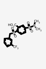 CN(C)S(=O)(=O)c1ccc(S(=O)(=O)Cc2cccc(C(F)(F)F)c2)c(C(=O)O)c1